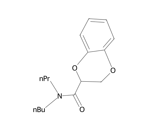 CCCCN(CCC)C(=O)C1COc2ccccc2O1